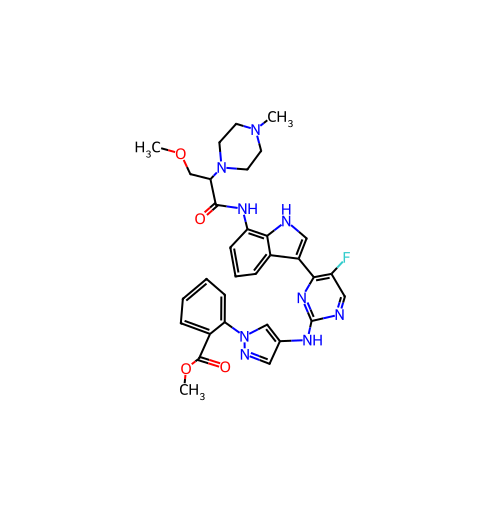 COCC(C(=O)Nc1cccc2c(-c3nc(Nc4cnn(-c5ccccc5C(=O)OC)c4)ncc3F)c[nH]c12)N1CCN(C)CC1